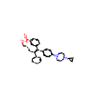 OCCC/C(C1=CCCC=C1)=C(/c1ccc(N2CCN(C3CC3)CC2)cc1)c1cccc(O)c1